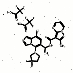 CC(NC(=O)c1c(N)nn2cccnc12)c1cc(Cl)c2cncn2c1N1CCC(F)(F)C1.O=C(O)C(F)(F)F.O=C(O)C(F)(F)F